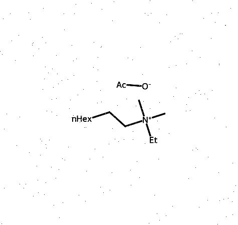 CC(=O)[O-].CCCCCCCC[N+](C)(C)CC